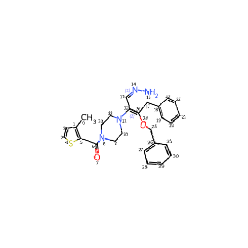 Cc1ccsc1C(=O)N1CCN(C(/C=N\N)=C(/Cc2ccccc2)OCc2ccccc2)CC1